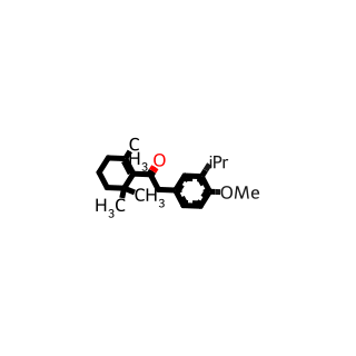 COc1ccc(CC(=O)C2=C(C)CCCC2(C)C)cc1C(C)C